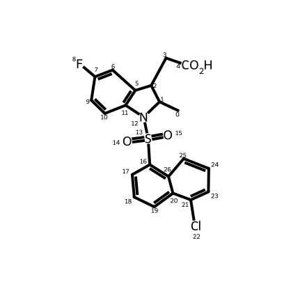 CC1C(CC(=O)O)c2cc(F)ccc2N1S(=O)(=O)c1cccc2c(Cl)cccc12